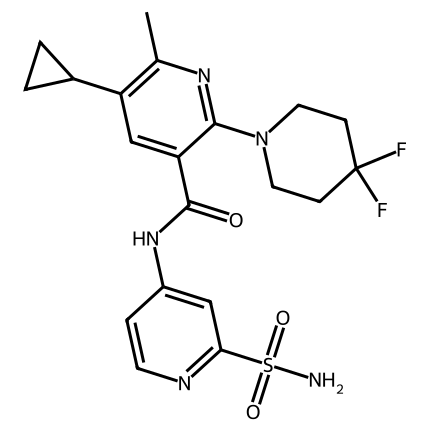 Cc1nc(N2CCC(F)(F)CC2)c(C(=O)Nc2ccnc(S(N)(=O)=O)c2)cc1C1CC1